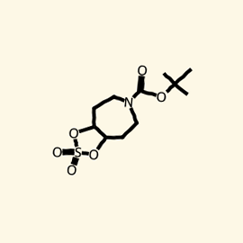 CC(C)(C)OC(=O)N1CCC2OS(=O)(=O)OC2CC1